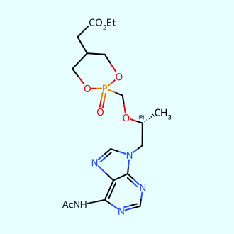 CCOC(=O)CC1COP(=O)(CO[C@H](C)Cn2cnc3c(NC(C)=O)ncnc32)OC1